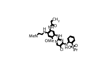 C=CC(=O)Nc1cc(Nc2ncc(Cl)c(Nc3ccccc3S(=O)(=O)C(C)C)n2)c(OC)cc1NCCNC